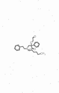 CCCCCCN(CCc1ccccc1)CC(OCC=O)(C(=O)O)c1ccccc1